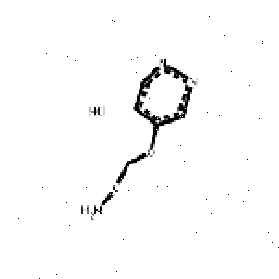 Cl.NCCOc1ccnnc1